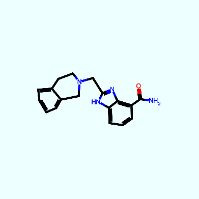 NC(=O)c1cccc2[nH]c(CN3CCc4ccccc4C3)nc12